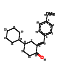 COc1ccc(C=C2CC(C3CCCCC3)CCC2=O)cc1